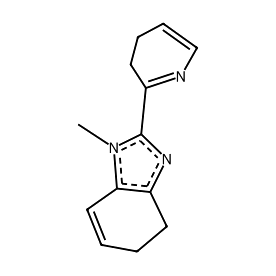 Cn1c(C2=NC=CCC2)nc2c1C=CCC2